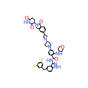 O=C1CCC(N2Cc3cc(C4CN(C5CCN(c6ccc(C(=O)Nc7n[nH]c8ccc(Cc9cc(F)cc(F)c9)cc78)c(NC7CCOCC7)c6)CC5)C4)ccc3C2=O)C(=O)N1